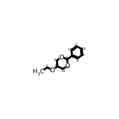 CCOC1COC(c2ccccc2)OC1